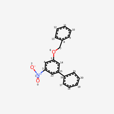 O=[N+]([O-])c1cc(OCc2ccccc2)cc(-c2ccccc2)c1